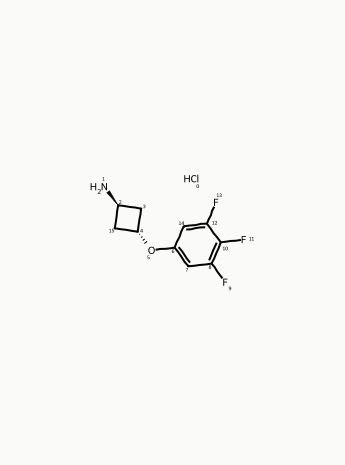 Cl.N[C@H]1C[C@H](Oc2cc(F)c(F)c(F)c2)C1